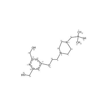 CC(C)(S)CN1CCN(CCOc2cc(CO)nc(CO)c2)CC1